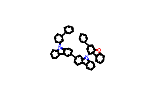 c1ccc(-c2cccc(-n3c4ccccc4c4cc(-c5ccc6c7ccccc7n(-c7cc(-c8ccccc8)cc8oc9ccccc9c78)c6c5)ccc43)c2)cc1